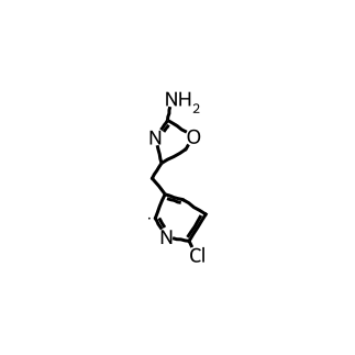 NC1=NC(Cc2[c]nc(Cl)cc2)CO1